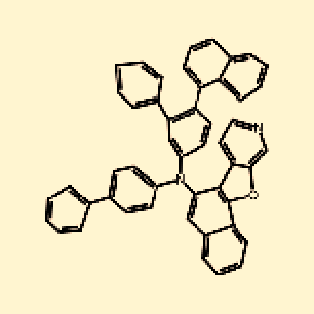 c1ccc(-c2ccc(N(c3ccc(-c4cccc5ccccc45)c(-c4ccccc4)c3)c3cc4ccccc4c4oc5cnccc5c34)cc2)cc1